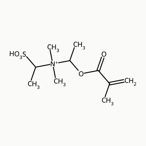 C=C(C)C(=O)OC(C)[N+](C)(C)C(C)S(=O)(=O)O